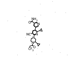 N#Cc1cc(-c2cncc(C(N)=O)c2)c(C2CC2)nc1N1CCN(C(=O)CC(F)(F)F)C(C2CC2)C1